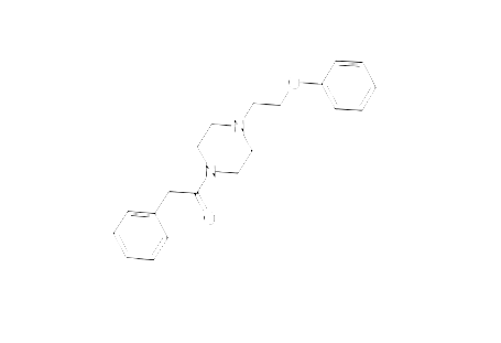 O=C(Cc1ccccc1)N1CCN(CCOc2ccccc2)CC1